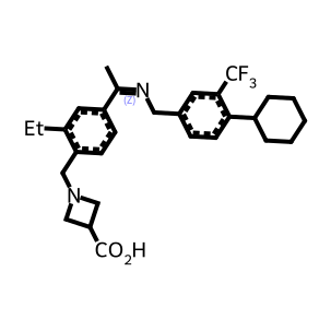 CCc1cc(/C(C)=N\Cc2ccc(C3CCCCC3)c(C(F)(F)F)c2)ccc1CN1CC(C(=O)O)C1